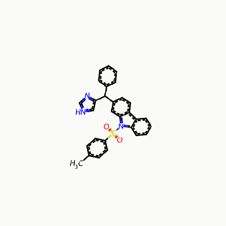 Cc1ccc(S(=O)(=O)n2c3ccccc3c3ccc(C(c4ccccc4)c4c[nH]cn4)cc32)cc1